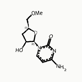 COC[C@@H]1CC(O)[C@H](n2ccc(N)nc2=O)O1